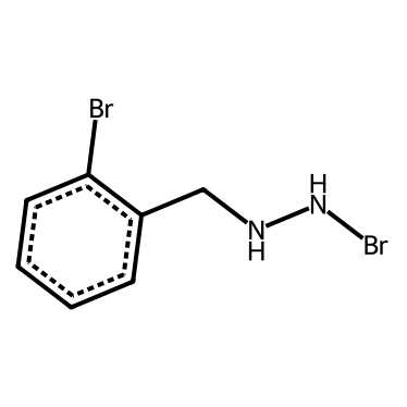 BrNNCc1ccccc1Br